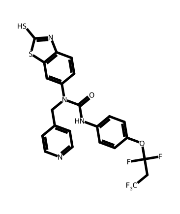 O=C(Nc1ccc(OC(F)(F)CC(F)(F)F)cc1)N(Cc1ccncc1)c1ccc2nc(S)sc2c1